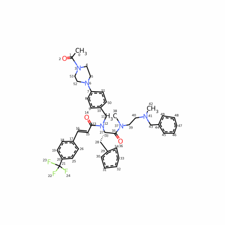 CC(=O)N1CCN(c2ccc(CN(C(=O)C=Cc3ccc(C(F)(F)F)cc3)[C@@H](Cc3ccccc3)C(=O)N(C)CCN(C)Cc3ccccc3)cc2)CC1